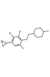 Cc1cc(C2CO2)c(F)c(F)c1CCC1CCC(C)CC1